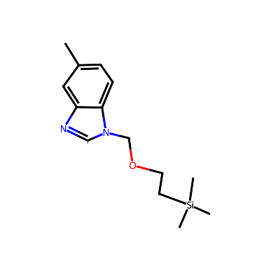 Cc1ccc2c(c1)n[c]n2COCC[Si](C)(C)C